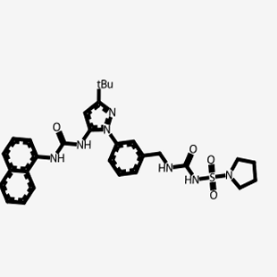 CC(C)(C)c1cc(NC(=O)Nc2cccc3ccccc23)n(-c2cccc(CNC(=O)NS(=O)(=O)N3CCCC3)c2)n1